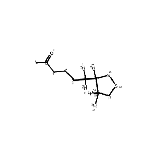 [2H]C([2H])(CCCC(C)=O)C1([2H])SSCC1([2H])[2H]